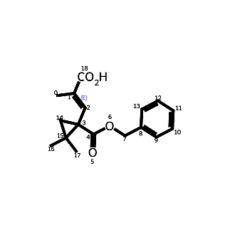 C/C(=C\C1(C(=O)OCc2ccccc2)CC1(C)C)C(=O)O